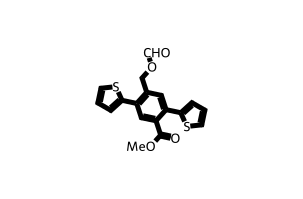 COC(=O)c1cc(-c2cccs2)c(COC=O)cc1-c1cccs1